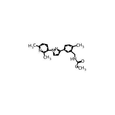 COC(=O)NCc1cc(-c2ccn(-c3ccc(C)nc3C)n2)ccc1C